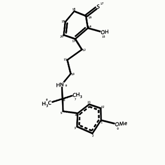 COc1ccc(CC(C)(C)NCCCC2=C(O)C(=S)CC=C2)cc1